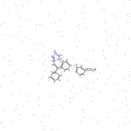 O=C(O)c1cccc(Sc2ccc3c(-c4ccccc4)cc4nncn4c3c2)c1